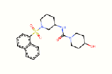 O=C(NC1CCCN(S(=O)(=O)c2cccc3ccccc23)C1)N1CCC(O)CC1